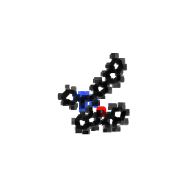 c1ccc(C2=NC(c3c4ccccc4cc4c3oc3c5ccccc5ccc43)=NC(c3ccc(-c4ccc5ccccc5c4)cc3)N2)cc1